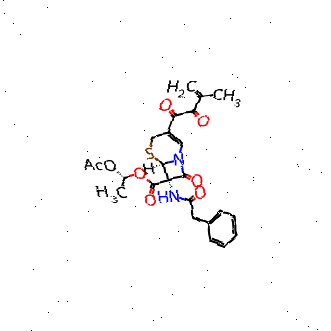 C=C(C)C(=O)C(=O)C1=CN2C(=O)[C@@](NC(=O)Cc3ccccc3)(C(=O)O[C@H](C)OC(C)=O)[C@H]2SC1